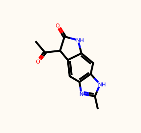 CC(=O)C1C(=O)Nc2cc3[nH]c(C)nc3cc21